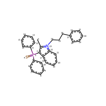 Cc1c(P(=S)(c2ccccc2)c2ccccc2)c2ccccc2n1CCCc1ccccc1